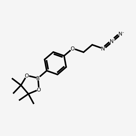 CC1(C)OB(c2ccc(OCCN=[N+]=[N-])cc2)OC1(C)C